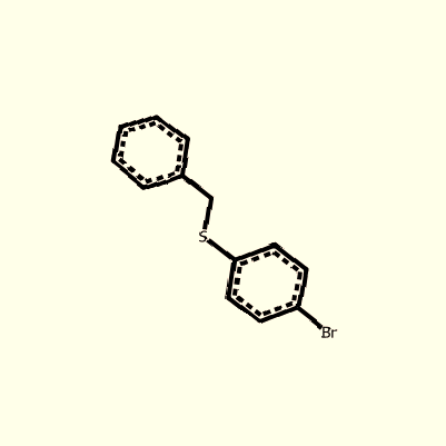 Brc1ccc(SCc2ccccc2)cc1